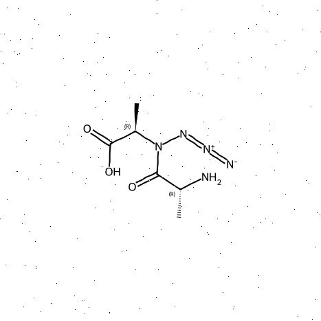 C[C@H](C(=O)O)N(N=[N+]=[N-])C(=O)[C@@H](C)N